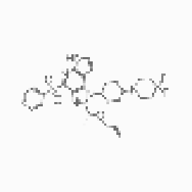 C=CCO[C@H](C)c1nc2c(S(=O)(=O)c3ccccc3)nc3[nH]ccc3c2n1C1CCC(N2CCC(F)(F)CC2)CC1